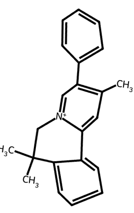 Cc1cc2[n+](cc1-c1ccccc1)CC(C)(C)c1ccccc1-2